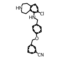 N#Cc1cccc(COc2ccc(CNc3c(Cl)ccc4c3CCNCC4)cc2)c1